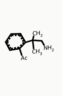 CC(=O)c1ccccc1C(C)(C)CN